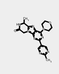 Cc1ncc(-c2nc(N3CCOCC3)c3nc4n(c3n2)CC(=O)NC4C)cn1